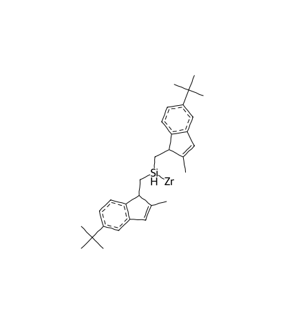 CC1=Cc2cc(C(C)(C)C)ccc2C1C[SiH]([Zr])CC1C(C)=Cc2cc(C(C)(C)C)ccc21